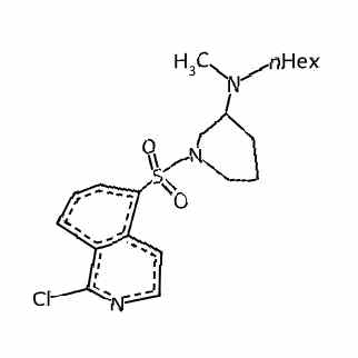 CCCCCCN(C)C1CCCN(S(=O)(=O)c2cccc3c(Cl)nccc23)C1